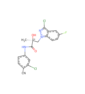 C[C@](O)(Cn1nc(Cl)c2cc(F)ccc21)C(=O)Nc1ccc(C#N)c(Cl)c1